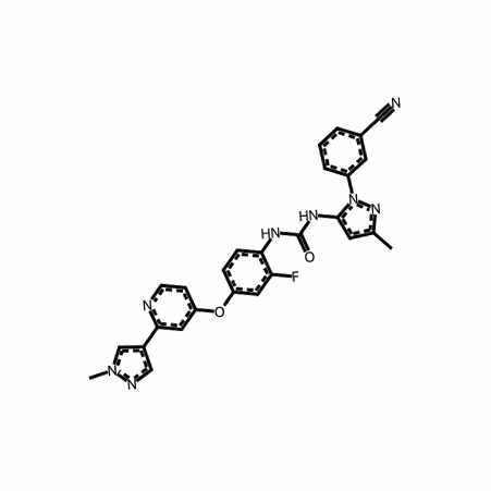 Cc1cc(NC(=O)Nc2ccc(Oc3ccnc(-c4cnn(C)c4)c3)cc2F)n(-c2cccc(C#N)c2)n1